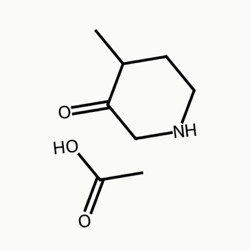 CC(=O)O.CC1CCNCC1=O